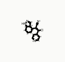 N#C/C(=C(\Cl)c1ccncc1)c1cccc2[nH]ncc12